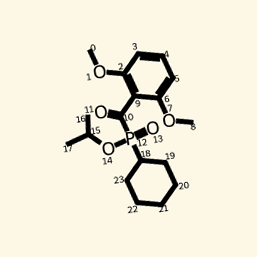 COc1cccc(OC)c1C(=O)P(=O)(OC(C)C)C1CCCCC1